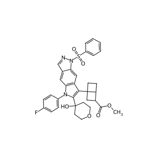 COC(=O)C1CC2(c3c(C4(O)CCOCC4)n(-c4ccc(F)cc4)c4cc5cnn(S(=O)(=O)c6ccccc6)c5cc34)CCC12